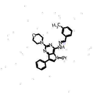 Cc1cccc(/C=N/Nc2nc(N3CCOCC3)nc3c(-c4ccccc4)cn(C(C)C)c23)c1